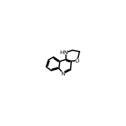 c1ccc2c3c(cnc2c1)OCCN3